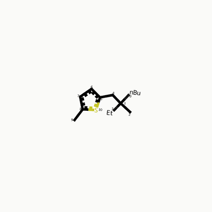 CCCCC(C)(CC)Cc1ccc(C)s1